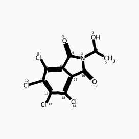 CC(O)N1C(=O)c2c(Cl)c(Cl)c(Cl)c(Cl)c2C1=O